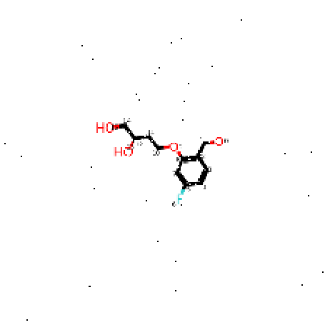 [O]Cc1ccc(F)cc1OCC[C@@H](O)CO